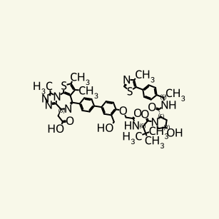 Cc1ncsc1-c1ccc([C@H](C)NC(=O)[C@@H]2C[C@@H](O)CN2C(=O)[C@@H](NC(=O)COc2ccc(-c3ccc(C4=N[C@@H](CC(=O)O)c5nnc(C)n5-c5sc(C)c(C)c54)cc3)cc2CO)C(C)(C)C)cc1